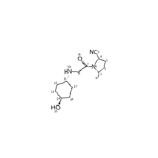 CC1CCC(C#N)N1C(=O)CN[C@H]1CC[C@H](O)CC1